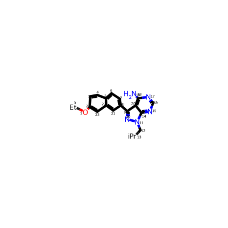 CCOc1ccc2ccc(-c3nn(CC(C)C)c4ncnc(N)c34)cc2c1